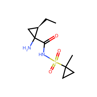 CC[C@@H]1CC1(N)C(=O)NS(=O)(=O)C1(C)CC1